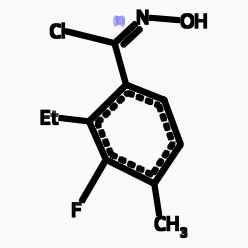 CCc1c(/C(Cl)=N\O)ccc(C)c1F